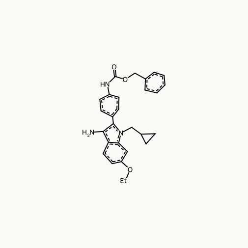 CCOc1ccc2c(N)c(-c3ccc(NC(=O)OCc4ccccc4)cc3)n(CC3CC3)c2c1